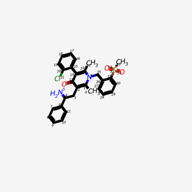 Cc1c(CC(N)c2ccccc2)c(=O)c(-c2ccccc2Cl)c(C)n1Cc1ccccc1S(C)(=O)=O